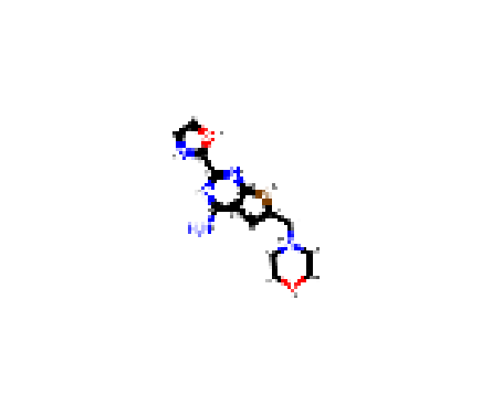 Nc1nc(-c2ncco2)nc2sc(CN3CCOCC3)cc12